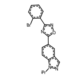 CC(C)n1ncc2cc(-c3nc(-c4ccccc4Br)no3)ccc21